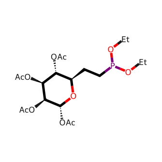 CCOP(CC[C@H]1O[C@H](OC(C)=O)[C@@H](OC(C)=O)[C@@H](OC(C)=O)[C@@H]1OC(C)=O)OCC